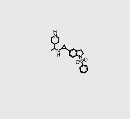 CC(NC1CC1c1ccc2c(c1)CCN2S(=O)(=O)c1ccccc1)C1CCNCC1